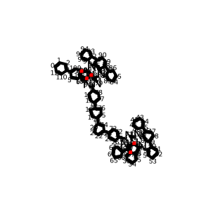 c1ccc(-c2ccc(-c3nc(-c4ccc(-c5ccc(-c6cccc(-c7ccc(-c8nc(-c9ccccc9)nc(-n9c%10ccccc%10c%10ccc%11c%12ccccc%12n(-c%12ccc(-c%13ccccc%13)cc%12)c%11c%109)n8)cc7)c6)cc5)cc4)nc(-n4c5ccccc5c5ccc6c7ccccc7n(-c7ccccc7)c6c54)n3)cc2)cc1